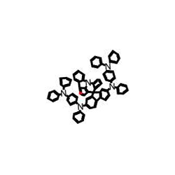 c1ccc(N(c2ccccc2)c2ccc(N(c3ccccc3)c3ccc4c(c3)C3(c5cc(N(c6ccccc6)c6ccc(N(c7ccccc7)c7ccccc7)cc6)ccc5-4)c4ccccc4-n4c5ccccc5c5cccc3c54)cc2)cc1